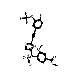 COC(=O)c1ccc(N(c2csc(C#Cc3ccc(F)c(OC(F)(F)F)c3)n2)[SH](=O)=O)c(OC)c1